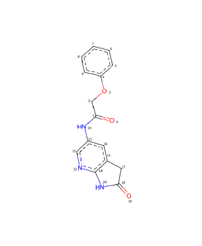 O=C(COc1ccccc1)Nc1cnc2c(c1)CC(=O)N2